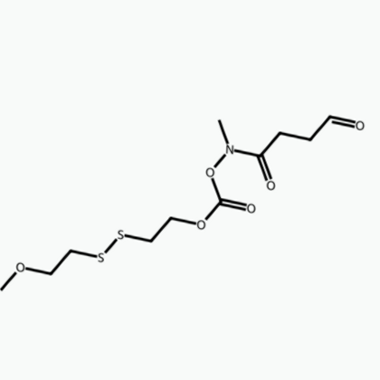 COCCSSCCOC(=O)ON(C)C(=O)CCC=O